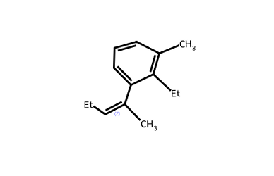 CC/C=C(/C)c1cccc(C)c1CC